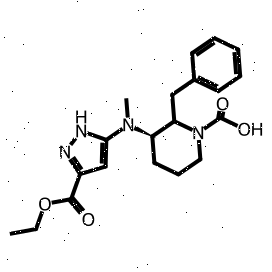 CCOC(=O)c1cc(N(C)[C@@H]2CCCN(C(=O)O)C2Cc2ccccc2)[nH]n1